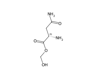 NC(=O)C[C@H](N)C(=O)OCO